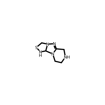 C1CN2C(=NN3CSNC32)CN1